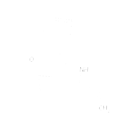 C=CCNC1CC2(CCCC2)Oc2ccccc21